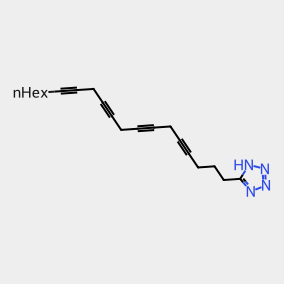 CCCCCCC#CCC#CCC#CCC#CCCCc1nnn[nH]1